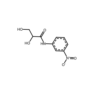 O=C(Nc1cccc([N+](=O)[O-])c1)C(O)CO